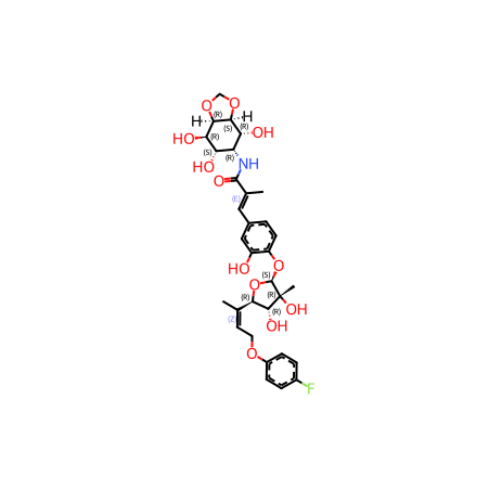 C/C(=C/COc1ccc(F)cc1)[C@H]1O[C@@H](Oc2ccc(/C=C(\C)C(=O)N[C@@H]3[C@H](O)[C@@H](O)[C@H]4OCO[C@H]4[C@@H]3O)cc2O)[C@](C)(O)[C@@H]1O